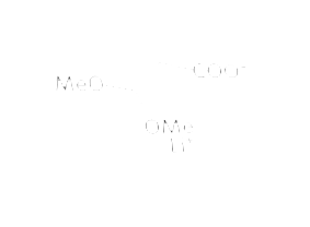 COC(CC(=O)[O-])OC.[Li+]